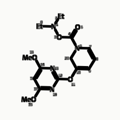 CCN(CC)OC(=O)N1C=CC=C(Oc2nc(OC)cc(OC)n2)C1